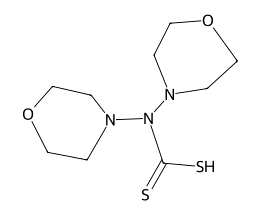 S=C(S)N(N1CCOCC1)N1CCOCC1